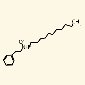 CCCCCCCCCCCC[NH+]([O-])CCc1ccccc1